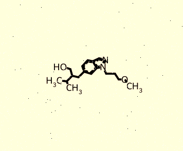 COCCCn1ncc2ccc(CC(CO)C(C)C)cc21